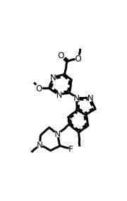 COC(=O)c1cc(-n2ncc3cc(C)c(N4CCN(C)CC4F)cc32)nc(OC)n1